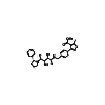 COC(=O)c1c(-c2ccc(CNC(=O)[C@H](O)[C@@H](O)C(=O)N3CCC[C@@H]3c3ccccc3)cc2)noc1C